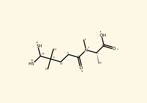 C[C@@H](C(=O)O)N(C)C(=O)CCC(C)(C)C(S)S